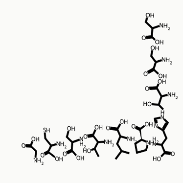 CC(C)CC(N)C(=O)O.CC(O)C(N)C(=O)O.CC(O)C(N)C(=O)O.NC(CO)C(=O)O.NC(CO)C(=O)O.NC(CO)C(=O)O.NC(CS)C(=O)O.NC(Cc1c[nH]cn1)C(=O)O.NCC(=O)O.O=C(O)[C@@H]1CCCN1